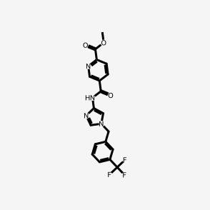 COC(=O)c1ccc(C(=O)Nc2cn(Cc3cccc(C(F)(F)F)c3)cn2)cn1